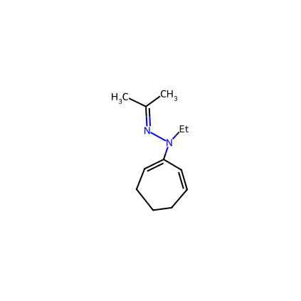 CCN(N=C(C)C)C1=CCCCC=C1